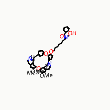 COC1=CC2=C3CC1Oc1c(OC)c(OC)cc4c1[C@@H](Cc1ccc(OCCCCCCCN(CO)C(=O)c5ccccc5)c(c1)Oc1ccc(cc1)C[C@@H]3N(C)CC2)N(C)CC4